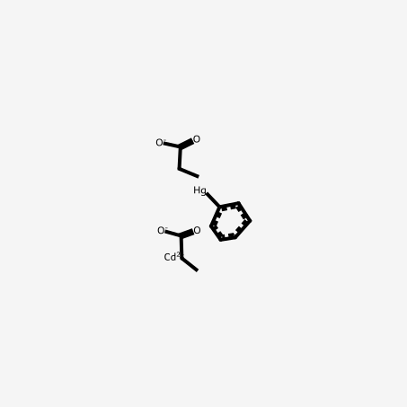 CCC(=O)[O-].CCC(=O)[O-].[Cd+2].[Hg][c]1ccccc1